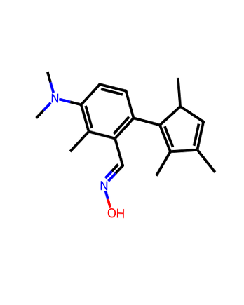 CC1=CC(C)C(c2ccc(N(C)C)c(C)c2C=NO)=C1C